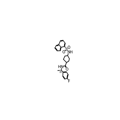 C[C@@H](NC(=O)C1CCC(NS(=O)(=O)c2cccc3ccccc23)CC1)c1ccc(F)cc1